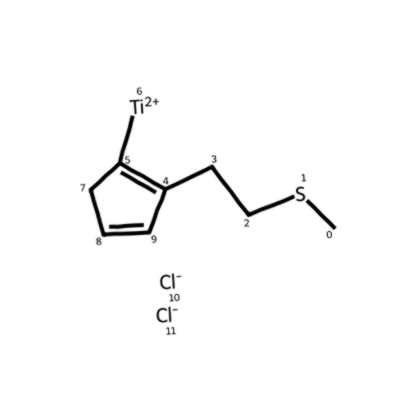 CSCCC1=[C]([Ti+2])CC=C1.[Cl-].[Cl-]